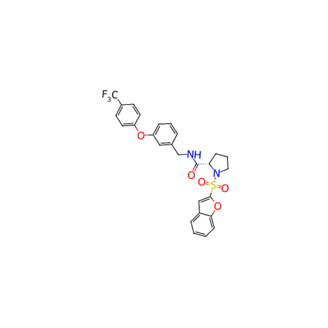 O=C(NCc1cccc(Oc2ccc(C(F)(F)F)cc2)c1)[C@@H]1CCCN1S(=O)(=O)c1cc2ccccc2o1